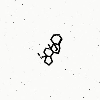 CSC12CCCC1C1CCC3=CCCCC3(C(C)C)C1(C)CC2